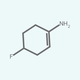 NC1=CCC(F)CC1